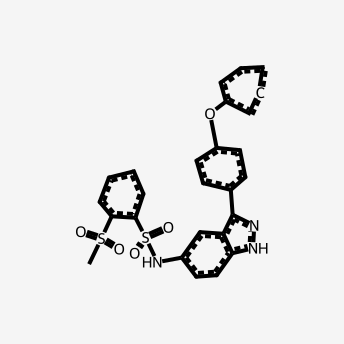 CS(=O)(=O)c1ccccc1S(=O)(=O)Nc1ccc2[nH]nc(-c3ccc(Oc4ccccc4)cc3)c2c1